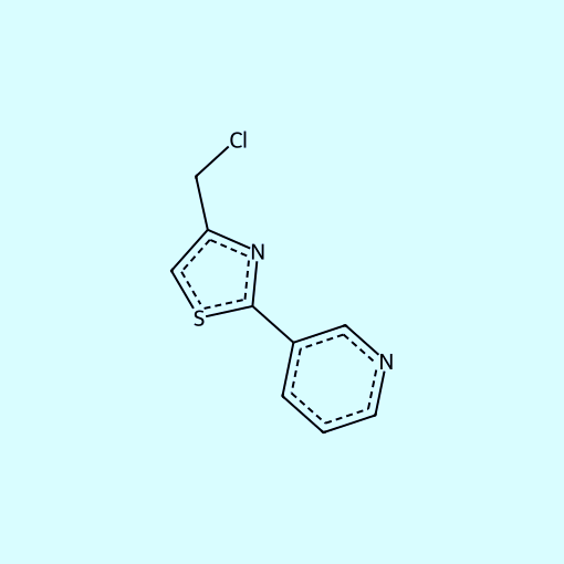 ClCc1csc(-c2cccnc2)n1